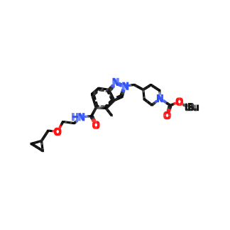 Cc1c(C(=O)NCCOCC2CC2)ccc2nn(CC3CCN(C(=O)OC(C)(C)C)CC3)cc12